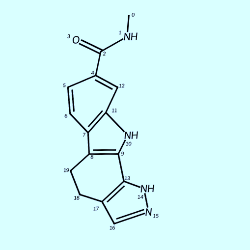 CNC(=O)c1ccc2c3c([nH]c2c1)-c1[nH]ncc1CC3